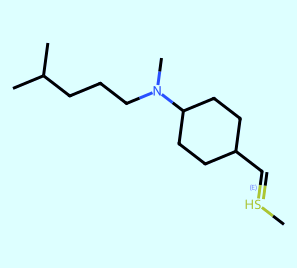 C/[SH]=C/C1CCC(N(C)CCCC(C)C)CC1